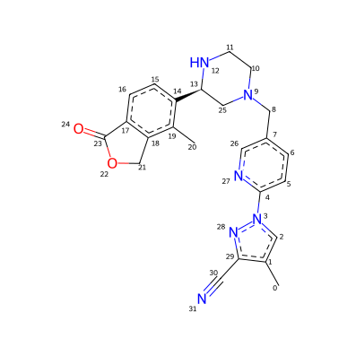 Cc1cn(-c2ccc(CN3CCN[C@H](c4ccc5c(c4C)COC5=O)C3)cn2)nc1C#N